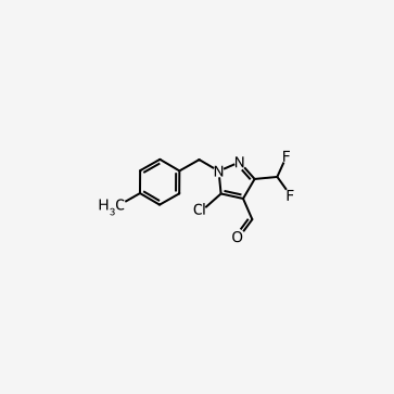 Cc1ccc(Cn2nc(C(F)F)c(C=O)c2Cl)cc1